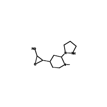 CN1CCC(C2OC2O)CC1N1CCCN1